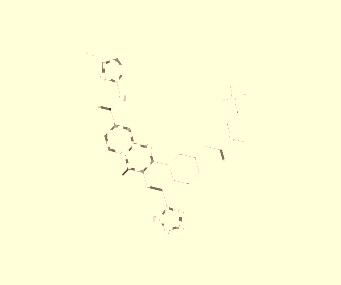 CN(CC[N+](C)(C)C)C(=O)CC1CCCN(c2nc3cc(C(=O)Nc4nc(C(C)(C)C)cs4)ccn3c(=O)c2/C=C/c2nnn[nH]2)C1